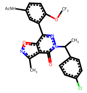 CC(=O)Nc1ccc(OC(F)(F)F)c(-c2nn(C(C)c3ccc(Cl)cc3)c(=O)c3c(C)noc23)c1